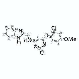 COc1ccc(Oc2cc(NCc3nc4ccccc4[nH]3)nc(Cl)n2)c(Cl)c1